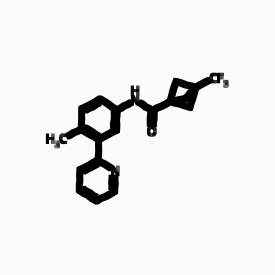 Cc1ccc(NC(=O)C23CC(C(F)(F)F)(C2)C3)cc1-c1ccccn1